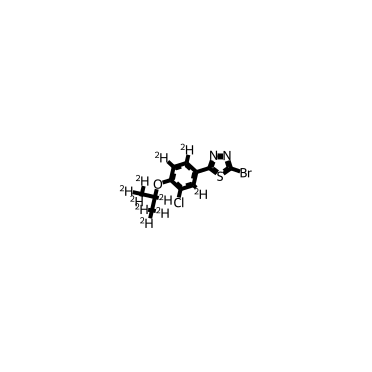 [2H]c1c([2H])c(-c2nnc(Br)s2)c([2H])c(Cl)c1OC([2H])(C([2H])([2H])[2H])C([2H])([2H])[2H]